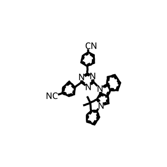 CC1(C)c2ccccc2-n2cc3c4ccccc4n(-c4nc(-c5ccc(C#N)cc5)nc(-c5ccc(C#N)cc5)n4)c3c21